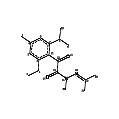 CCc1cc(C)cc(C(C)C)c1C(=O)C(=O)N(C)N=C(C)C